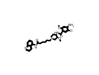 COc1cc(N)c(Cl)cc1C(=O)N[C@@H]1CCN(CCCCCC(=O)Nc2cccc3ncccc23)C[C@@H]1OC